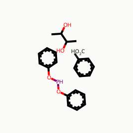 CC(O)C(C)O.O=C(O)c1ccccc1.c1ccc(OPOc2ccccc2)cc1